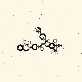 Nc1c(Cl)cc(C[C@@H](CC(=O)N2CCC(N3CCc4ccccc4NC3=O)CC2)C(=O)N2CCC(n3ccnc3)CC2)cc1C(F)(F)F